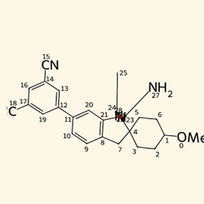 COC1CCC2(CC1)Cc1ccc(-c3cc(C#N)cc(C#N)c3)cc1C21N=C(C)C(N)=N1